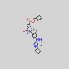 CN(C(=O)C1CC(C(=O)OCc2ccccc2)C1)C(c1ccc(Nc2cnn(-c3ccccc3)c2C(F)(F)F)cc1)C(F)(F)F